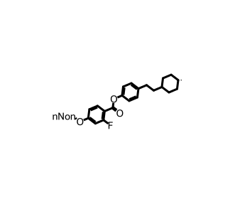 CCCCCCCCCOc1ccc(C(=O)Oc2ccc(CCC3CC[CH]CC3)cc2)c(F)c1